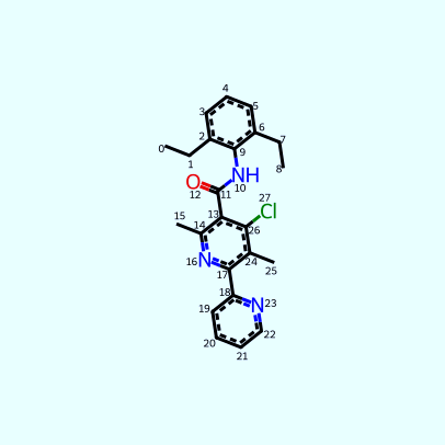 CCc1cccc(CC)c1NC(=O)c1c(C)nc(-c2ccccn2)c(C)c1Cl